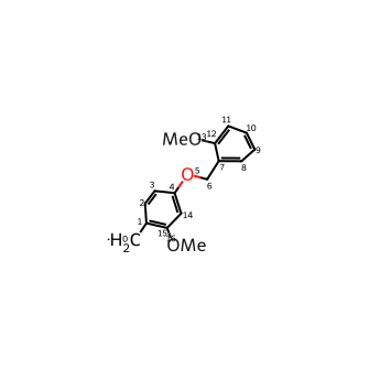 [CH2]c1ccc(OCc2ccccc2OC)cc1OC